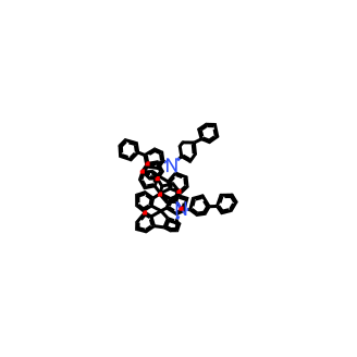 C1=CC(c2ccccc2)CC=C1N(c1ccc(-c2ccccc2)cc1)c1cccc2c1C1(c3ccccc3-2)c2ccccc2C2(c3ccccc3-c3c(N(C4=CC=C(c5ccccc5)CC4)c4ccc(-c5ccccc5)cc4)cccc32)c2ccccc21